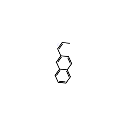 C/C=C\c1[c]c2ccccc2cc1